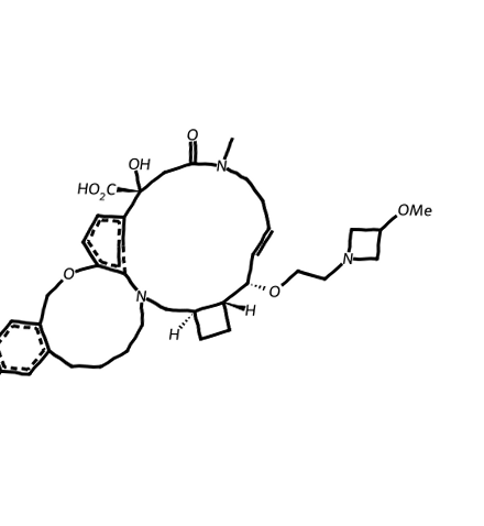 COC1CN(CCO[C@H]2/C=C/CCN(C)C(=O)C[C@](O)(C(=O)O)c3ccc4c(c3)N(CCCCc3cc(Cl)ccc3CO4)C[C@@H]3CC[C@H]32)C1